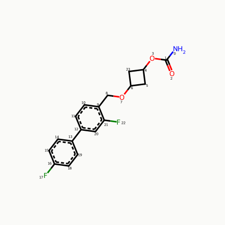 NC(=O)OC1CC(OCc2ccc(-c3ccc(F)cc3)cc2F)C1